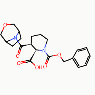 O=C(O)[C@H]1[C@@H](C(=O)N2C3CCC2COC3)CCCN1C(=O)OCc1ccccc1